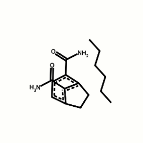 CCCCCC.NC(=O)c1ccc2c(C(N)=O)c1CC2